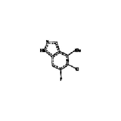 CC(C)(C)c1c(Cl)c(F)cc2[nH]ncc12